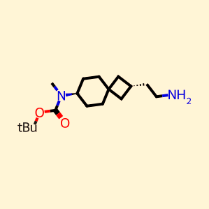 CN(C(=O)OC(C)(C)C)[C@H]1CCC2(CC1)C[C@@H](CCN)C2